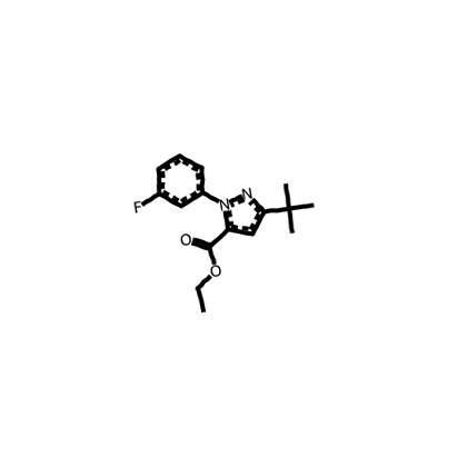 CCOC(=O)c1cc(C(C)(C)C)nn1-c1cccc(F)c1